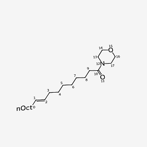 CCCCCCCCC=CCCCCCCCC(=O)N1CCOCC1